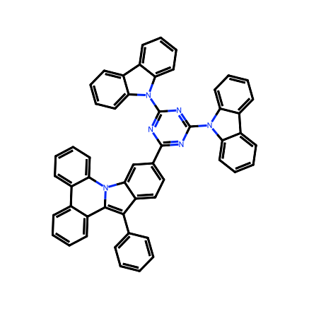 c1ccc(-c2c3ccc(-c4nc(-n5c6ccccc6c6ccccc65)nc(-n5c6ccccc6c6ccccc65)n4)cc3n3c4ccccc4c4ccccc4c23)cc1